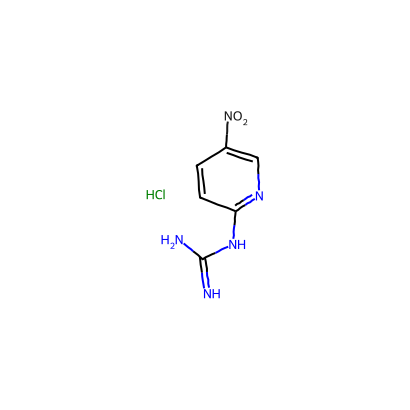 Cl.N=C(N)Nc1ccc([N+](=O)[O-])cn1